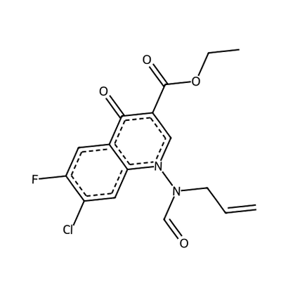 C=CCN(C=O)n1cc(C(=O)OCC)c(=O)c2cc(F)c(Cl)cc21